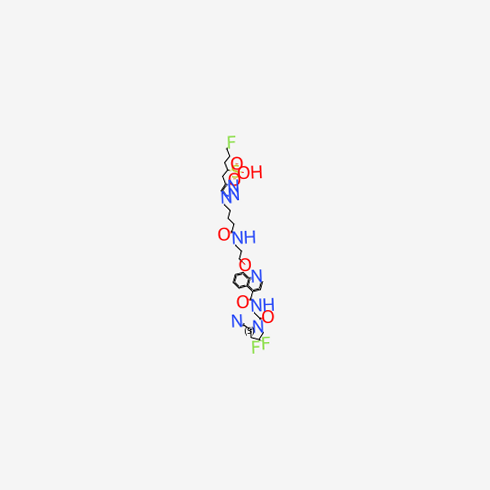 N#C[C@@H]1CC(F)(F)CN1C(=O)CNC(=O)c1ccnc2c(OCCCNC(=O)CCCCn3cc(CC(CCCF)S(=O)(=O)O)nn3)cccc12